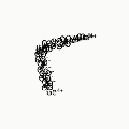 O=P([O-])([O-])[O-].O=P([O-])([O-])[O-].O=P([O-])([O-])[O-].O=P([O-])([O-])[O-].O=P([O-])([O-])[O-].O=P([O-])([O-])[O-].O=P([O-])([O-])[O-].[Al+3].[Al+3].[Al+3].[Ge+4].[Ge+4].[Ge+4].[LiH].[LiH].[LiH]